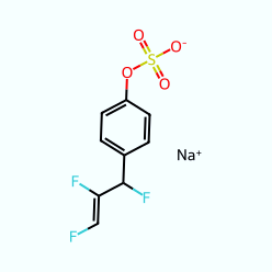 O=S(=O)([O-])Oc1ccc(C(F)C(F)=CF)cc1.[Na+]